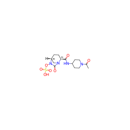 CC(=O)N1CCC(NC(=O)[C@@H]2CC[C@@H]3CN2C(=O)N3OS(=O)(=O)O)CC1